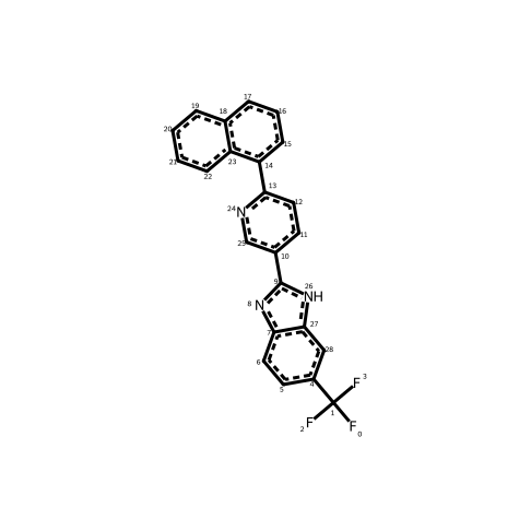 FC(F)(F)c1ccc2nc(-c3ccc(-c4cccc5ccccc45)nc3)[nH]c2c1